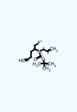 C#CCCC(CF)N(CC=C)C(=O)OC(C)(C)C